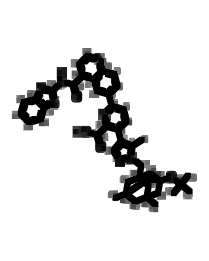 Cc1c(-c2ccc(-c3ccc4nccc(C(=O)Nc5nc6ccccc6s5)c4c3)nc2C(=O)O)cnn1CC12CC3(C)CC(C)(C1)CC(OC(C)(C)C)(C3)C2